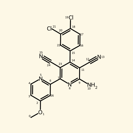 COc1ccnc(-c2nc(N)c(C#N)c(-c3ccc(Cl)c(Cl)c3)c2C#N)c1